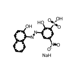 O=[N+]([O-])c1cc(N=Nc2c(O)ccc3ccccc23)c(O)c(S(=O)(=O)O)c1.[NaH]